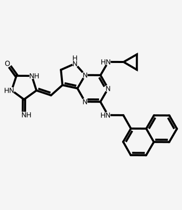 N=C1NC(=O)N/C1=C\C1=C2N=C(NCc3cccc4ccccc34)N=C(NC3CC3)N2NC1